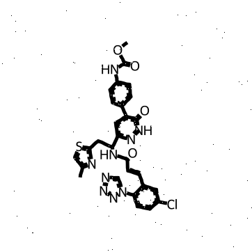 COC(=O)Nc1ccc(-c2cc(C(Cc3nc(C)cs3)NC(=O)C=Cc3cc(Cl)ccc3-n3cnnn3)n[nH]c2=O)cc1